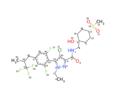 CCn1nc(C(=O)NC[C@]2(O)CC[C@@H](S(C)(=O)=O)CC2)c(Cl)c1-c1c(F)cc(CC(C)C(F)(F)F)cc1F